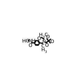 COCC1(C(=O)N2CCOc3cc(C(=O)NO)ccc3C2C)COC1